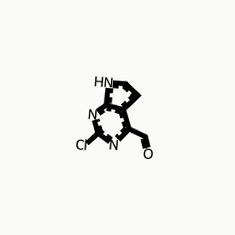 O=Cc1nc(Cl)nc2[nH]ccc12